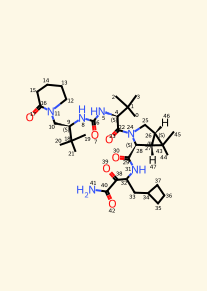 CC(C)(C)[C@H](NC(=O)N[C@H](CN1CCCCC1=O)C(C)(C)C)C(=O)N1C[C@H]2[C@@H]([C@H]1C(=O)NC(CC1CCC1)C(=O)C(N)=O)C2(C)C